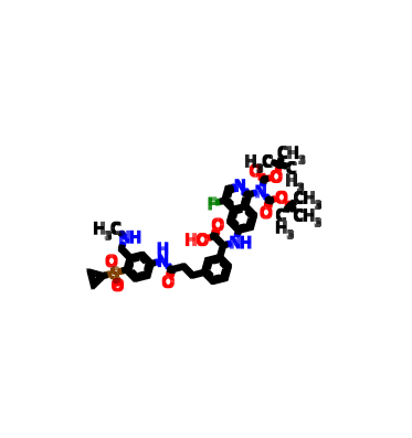 CNCc1cc(NC(=O)CCc2cccc(C(Nc3ccc4c(N(C(=O)OC(C)(C)C)C(=O)OC(C)(C)C)ncc(F)c4c3)C(=O)O)c2)ccc1S(=O)(=O)C1CC1